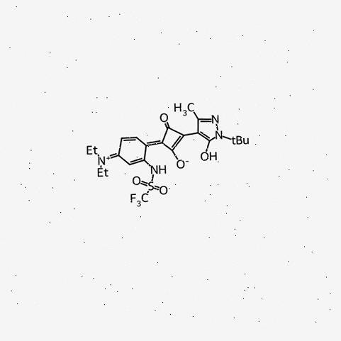 CC[N+](CC)=C1C=C/C(=C2\C(=O)C(c3c(C)nn(C(C)(C)C)c3O)=C2[O-])C(NS(=O)(=O)C(F)(F)F)=C1